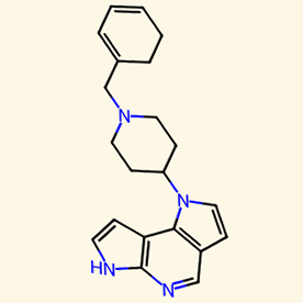 C1=CCCC(CN2CCC(n3ccc4cnc5[nH]ccc5c43)CC2)=C1